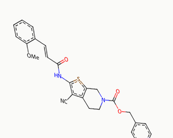 COc1ccccc1/C=C/C(=O)Nc1sc2c(c1C#N)CCN(C(=O)OCc1ccncc1)C2